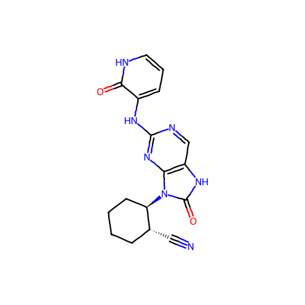 N#C[C@@H]1CCCC[C@H]1n1c(=O)[nH]c2cnc(Nc3ccc[nH]c3=O)nc21